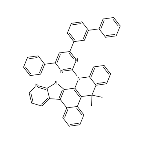 CC1(C)c2ccccc2N(c2nc(-c3ccccc3)cc(-c3cccc(-c4ccccc4)c3)n2)c2c1c1ccccc1c1c2sc2ncccc21